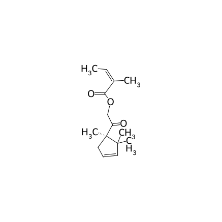 C/C=C(/C)C(=O)OCC(=O)[C@]1(C)CC=CC1(C)C